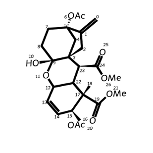 C=C1C[C@]23C[C@@]1(OC(C)=O)CC[C@@]2(O)OC1C=C[C@H](OC(C)=O)[C@@](C)(C(=O)OC)C1[C@@H]3C(=O)OC